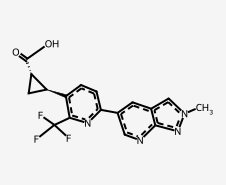 Cn1cc2cc(-c3ccc([C@H]4C[C@@H]4C(=O)O)c(C(F)(F)F)n3)cnc2n1